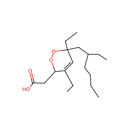 CCCCC(CC)CC1(CC)C=C(CC)C(CC(=O)O)OO1